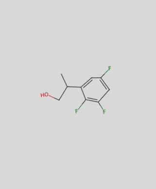 C[C](CO)c1cc(F)cc(F)c1F